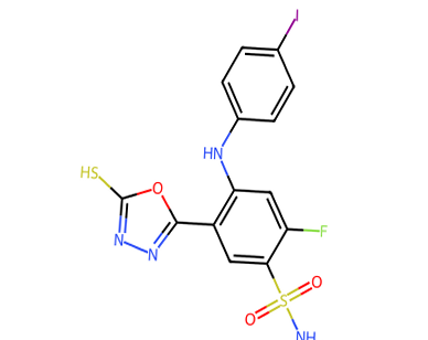 NS(=O)(=O)c1cc(-c2nnc(S)o2)c(Nc2ccc(I)cc2)cc1F